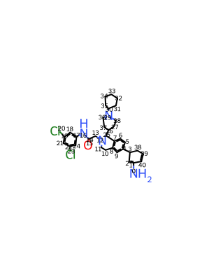 NC1=CC(c2ccc3c(c2)CCN(CC(=O)Nc2cc(Cl)cc(Cl)c2)C3C2CCN(C3CCCCC3)CC2)CC=C1